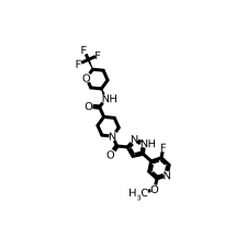 COc1cc(-c2cc(C(=O)N3CCC(C(=O)N[C@@H]4CC[C@H](C(F)(F)F)OC4)CC3)n[nH]2)c(F)cn1